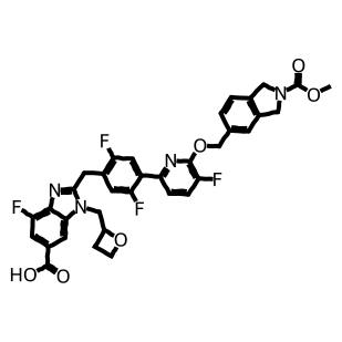 COC(=O)N1Cc2ccc(COc3nc(-c4cc(F)c(Cc5nc6c(F)cc(C(=O)O)cc6n5CC5CCO5)cc4F)ccc3F)cc2C1